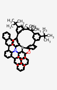 CC(C)(C)c1cc2cc(c1)C(C)(C)C(C)(C)c1cc(cc(C(C)(C)C)c1)-c1ccc3c(c1)B1c4cc-2ccc4Oc2cc(-c4ccccc4)cc(c21)N3c1c(-c2ccc3ccccc3c2)cccc1-c1ccc2ccccc2c1